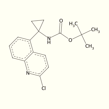 CC(C)(C)OC(=O)NC1(c2cccc3nc(Cl)ccc23)CC1